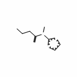 CCCC(=O)N(C)c1nccs1